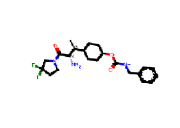 C[C@@H](C1CCC(OC(=O)NCc2ccccc2)CC1)[C@H](N)C(=O)N1CCC(F)(F)C1